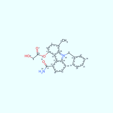 Cc1ccc(OC(=O)CO)c2c3c(C(N)=O)cccc3n(Cc3ccccc3)c12